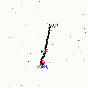 NC(=O)[C@H](CO)CC(=O)CC#CCCCNC(=O)CCCCCCCCCCCCCCCCC(=O)O